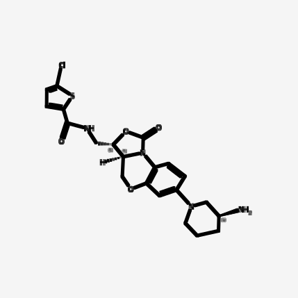 N[C@H]1CCCN(c2ccc3c(c2)OC[C@H]2[C@H](CNC(=O)c4ccc(Cl)s4)OC(=O)N32)C1